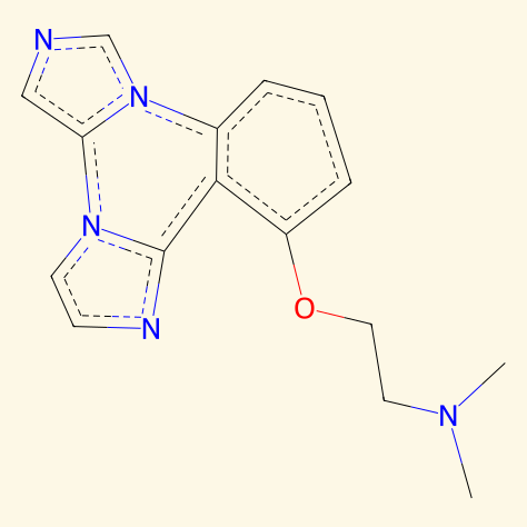 CN(C)CCOc1cccc2c1c1nccn1c1cncn21